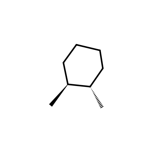 C[C@H]1CCCC[C@@H]1C